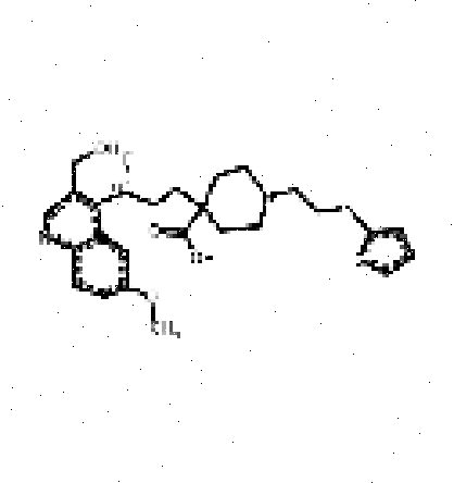 COc1ccc2ncc(CO)c([C@H](F)CCC3(C(=O)O)CCN(CCSc4cccs4)CC3)c2c1